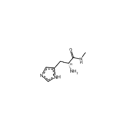 CNC(=O)[C@H](N)Cc1cnc[nH]1